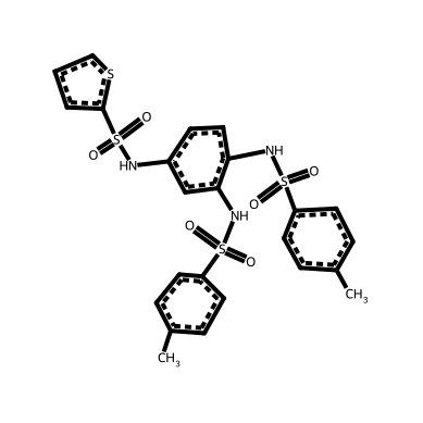 Cc1ccc(S(=O)(=O)Nc2ccc(NS(=O)(=O)c3cccs3)cc2NS(=O)(=O)c2ccc(C)cc2)cc1